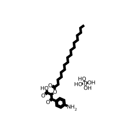 CCCCCCCCCCCCCCCCCC(=O)OC(C(=O)O)C(=O)c1ccc(N)cc1.[OH][Ti]([OH])([OH])[OH]